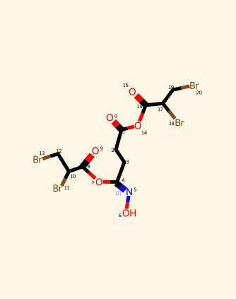 O=C(CC/C(=N/O)OC(=O)C(Br)CBr)OC(=O)C(Br)CBr